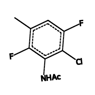 CC(=O)Nc1c(F)c(C)cc(F)c1Cl